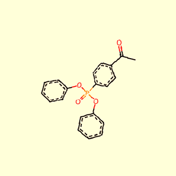 CC(=O)c1ccc(P(=O)(Oc2ccccc2)Oc2ccccc2)cc1